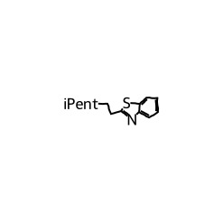 CCCC(C)CCc1nc2ccccc2s1